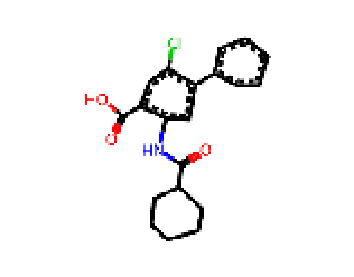 O=C(O)c1cc(Cl)c(-c2ccccc2)cc1NC(=O)C1CCCCC1